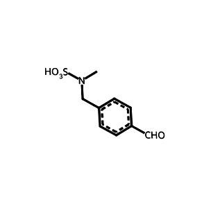 CN(Cc1ccc(C=O)cc1)S(=O)(=O)O